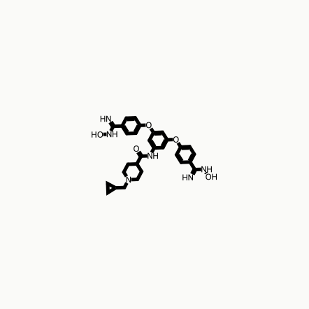 N=C(NO)c1ccc(Oc2cc(NC(=O)C3CCN(CC4CC4)CC3)cc(Oc3ccc(C(=N)NO)cc3)c2)cc1